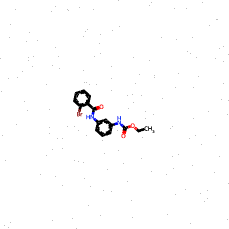 CCOC(=O)Nc1cccc(NC(=O)c2ccccc2Br)c1